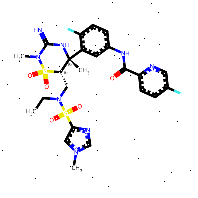 CCN(C[C@H]1[C@@](C)(c2cc(NC(=O)c3ccc(F)cn3)ccc2F)NC(=N)N(C)S1(=O)=O)S(=O)(=O)c1cn(C)cn1